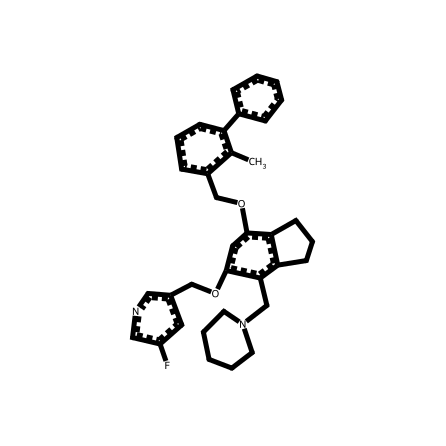 Cc1c(COc2cc(OCc3cncc(F)c3)c(CN3CCCCC3)c3c2CCC3)cccc1-c1ccccc1